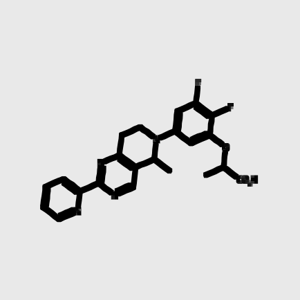 CC(Oc1cc(N2CCc3nc(-c4ccccn4)ncc3C2C)cc(F)c1F)C(=O)O